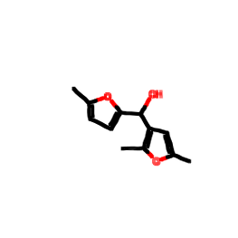 Cc1ccc(C(O)c2cc(C)oc2C)o1